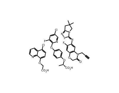 C#CCN1C(=O)COc2cc(F)c(/N=c3\snc4n3CC(C)(C)C4)cc21.C[C@@H](Oc1ccc(Oc2ncc(Cl)cc2F)cc1)C(=O)O.O=C(O)COc1ccc(Cl)c2cccnc12